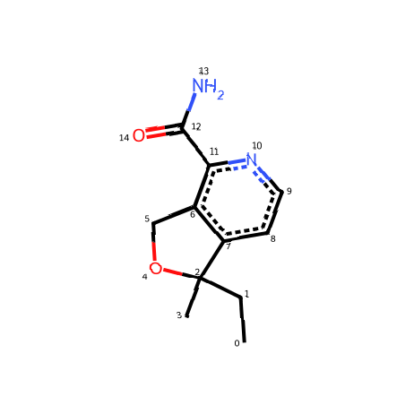 CCC1(C)OCc2c1ccnc2C(N)=O